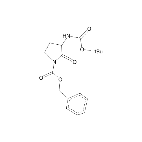 CC(C)(C)OC(=O)NC1CCN(C(=O)OCc2ccccc2)C1=O